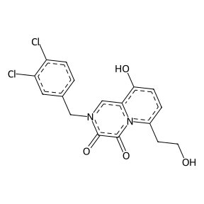 O=c1c(=O)n2c(CCO)ccc(O)c2cn1Cc1ccc(Cl)c(Cl)c1